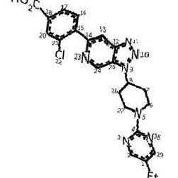 CCc1cnc(N2CCC(n3nnc4cc(-c5ccc(C(=O)O)cc5Cl)ncc43)CC2)nc1